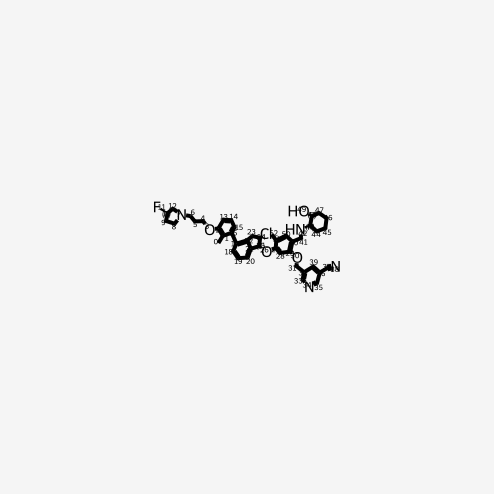 Cc1c(OCCCN2CC[C@@H](F)C2)cccc1-c1cccc2c1CC[C@@H]2Oc1cc(OCc2cncc(C#N)c2)c(CN[C@@H]2CCCC[C@@H]2O)cc1Cl